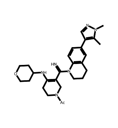 CC(=O)N1CCC(NC2CCOCC2)=C(C(=N)N2CCCc3cc(-c4cnn(C)c4C)ccc32)C1